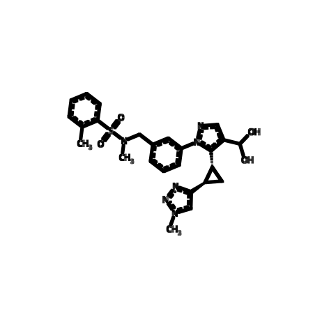 Cc1ccccc1S(=O)(=O)N(C)Cc1cccc(-n2ncc(C(O)O)c2[C@@H]2C[C@H]2c2cn(C)nn2)c1